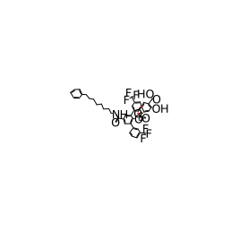 O=C(NCCCCCCCCc1ccccc1)c1cc(-c2cccc(C(F)(F)F)c2)c(OS(=O)(=O)c2ccc(C(=O)O)c(O)c2)c(-c2cccc(C(F)(F)F)c2)c1